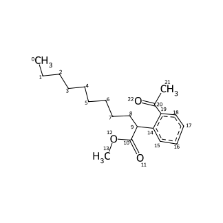 CCCCCCCCCC(C(=O)OC)c1ccccc1C(C)=O